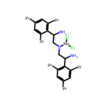 CC(C)c1cc(C(C)C)c(C(N)C[N](CC(N)c2c(C(C)C)cc(C(C)C)cc2C(C)C)[Mn]([Cl])[Cl])c(C(C)C)c1